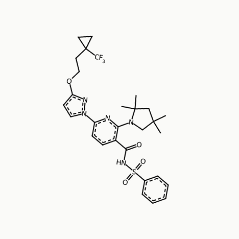 CC1(C)CN(c2nc(-n3ccc(OCCC4(C(F)(F)F)CC4)n3)ccc2C(=O)NS(=O)(=O)c2ccccc2)C(C)(C)C1